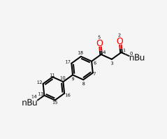 CCCCC(=O)CC(=O)c1ccc(-c2ccc(CCCC)cc2)cc1